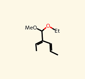 CC=CC(=CC)C(OC)OCC